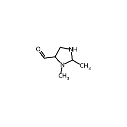 CC1NCC(C=O)N1C